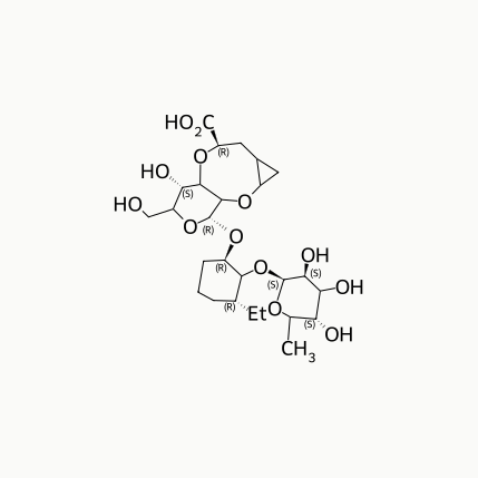 CC[C@@H]1CCC[C@@H](O[C@@H]2OC(CO)[C@H](O)C3O[C@@H](C(=O)O)CC4CC4OC32)C1O[C@@H]1OC(C)[C@@H](O)C(O)[C@@H]1O